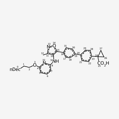 CCCCCCCCCCCCOc1cccc(Nc2c(C)noc2-c2ccc(-c3ccc(C4(C(=O)O)CC4)cc3)cc2)n1